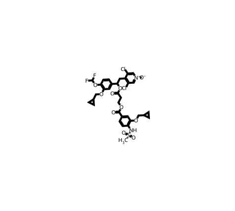 CS(=O)(=O)Nc1ccc(C(=O)OCCC(=O)OC(Cc2c(Cl)c[n+]([O-])cc2Cl)c2ccc(OC(F)F)c(OCC3CC3)c2)cc1OCC1CC1